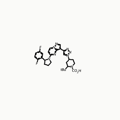 CC(C)(C)C1CC(n2cc(-c3cnn4ccc(N5CCCC5c5cc(F)ccc5F)nc34)nn2)CCN1C(=O)O